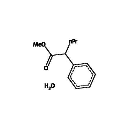 CCCC(C(=O)OC)c1ccccc1.O